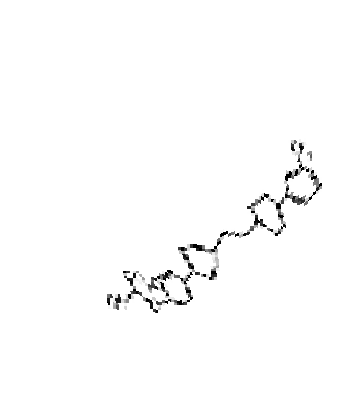 CCCC(Oc1ccc(-c2ccc(CCN3CC=C(c4cccc(C(F)(F)F)c4)CC3)cc2)cc1)C(=O)OCC